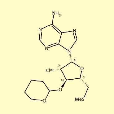 CSC[C@H]1O[C@@H](n2cnc3c(N)ncnc32)[C@@H](Cl)[C@@H]1OC1CCCCO1